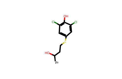 CC(C)C(O)CCSc1cc(Cl)c(O)c(Cl)c1